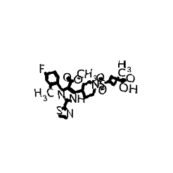 COC(=O)C1=C(C2CCN(S(=O)(=O)C3CC(C)(C(=O)O)C3)CC2)NC(c2nccs2)=NC1c1ccc(F)cc1C